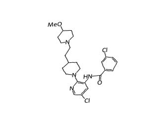 COC1CCN(CCC2CCN(c3ncc(Cl)cc3NC(=O)c3cccc(Cl)c3)CC2)CC1